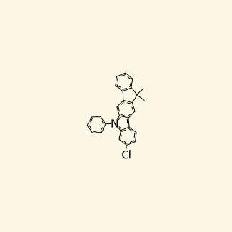 CC1(C)c2ccccc2-c2cc3c(cc21)c1ccc(Cl)cc1n3-c1ccccc1